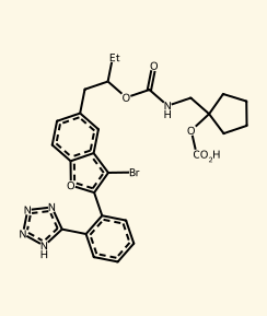 CCC(Cc1ccc2oc(-c3ccccc3-c3nnn[nH]3)c(Br)c2c1)OC(=O)NCC1(OC(=O)O)CCCC1